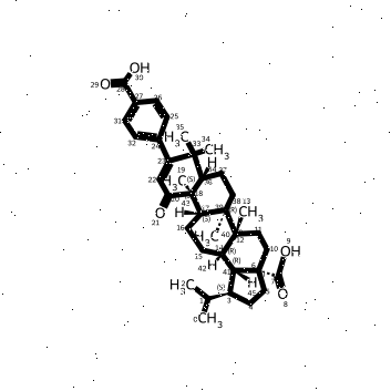 CC(C)[C@@H]1CC[C@]2(C(=O)O)CC[C@]3(C)[C@H](CC[C@@H]4[C@@]5(C)C(=O)C=C(c6ccc(C(=O)O)cc6)C(C)(C)[C@@H]5CC[C@]43C)[C@@H]12